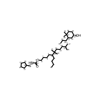 CCCCC(CCCCOC(=O)NSC1CCCC1)C(C)(C)CCCC(C)C[C@H](CC)C1C[C@H](O)CCC1(C)C